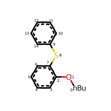 CCCCOc1ccccc1Sc1[c]cccc1